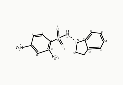 O=[N+]([O-])c1ccc(S(=O)(=O)N[C@H]2CCc3ccccc32)c([N+](=O)[O-])c1